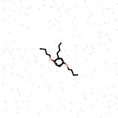 CCCCOc1ccc(OCCCC)c(CCCC)c1